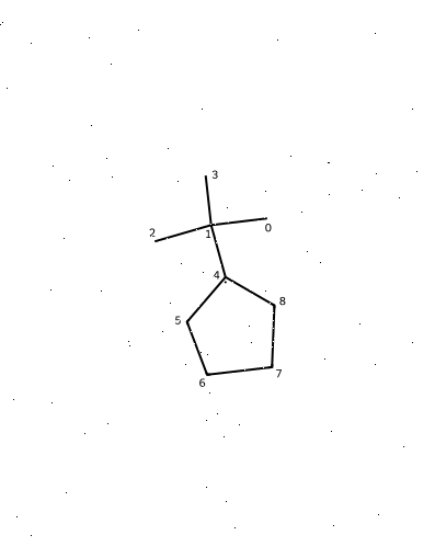 CC(C)(C)[C]1CCCC1